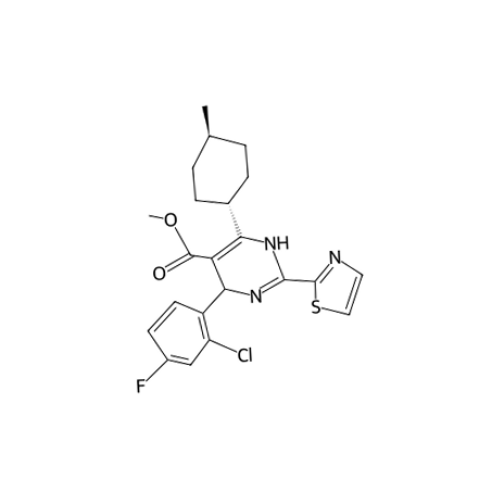 COC(=O)C1=C([C@H]2CC[C@H](C)CC2)NC(c2nccs2)=NC1c1ccc(F)cc1Cl